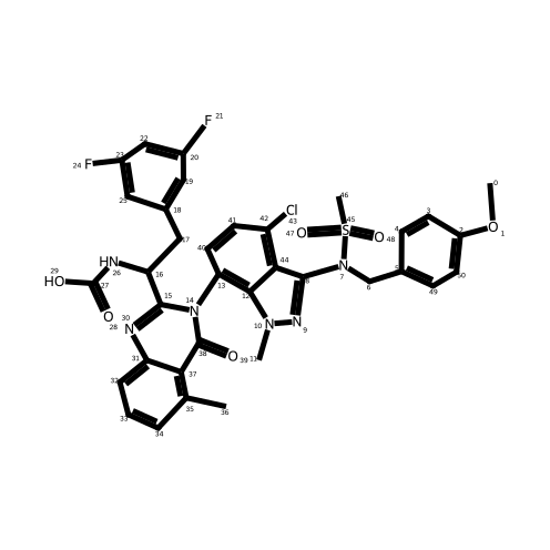 COc1ccc(CN(c2nn(C)c3c(-n4c(C(Cc5cc(F)cc(F)c5)NC(=O)O)nc5cccc(C)c5c4=O)ccc(Cl)c23)S(C)(=O)=O)cc1